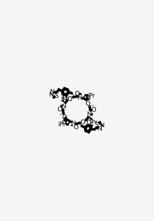 CC(C)C[C@H]1C(=O)O[C@H](Cc2ccc(Cc3nncs3)cc2)C(=O)N(C)[C@@H](CC(C)C)C(=O)O[C@H](C)C(=O)N(C)[C@@H](CC(C)C)C(=O)O[C@H](Cc2ccc(Cc3nncs3)cc2)C(=O)N(C)[C@@H](CC(C)C)C(=O)O[C@H](C)C(=O)N1C